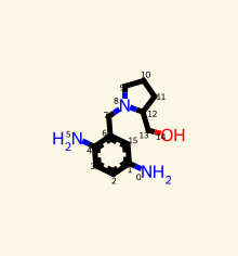 Nc1ccc(N)c(CN2CCCC2CO)c1